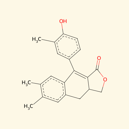 Cc1cc2c(cc1C)C(c1ccc(O)c(C)c1)=C1C(=O)OCC1C2